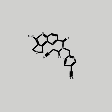 C#Cc1ccc(CN(C(=O)c2ccc3nc(N)c4c(c3c2)COC4)C(C)CC#N)nc1